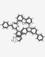 C/C=C\C(=C/CC)c1ccc2c(c1)c1cc(-c3ccccc3)ccc1n2-c1cccc2c1oc1c(-c3nc(-c4ccccc4)cc(-c4ccccc4)n3)cccc12